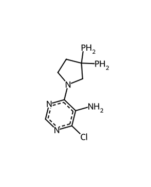 Nc1c(Cl)ncnc1N1CCC(P)(P)C1